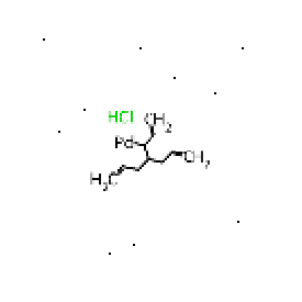 C=CCC(CC=C)[CH]([Pd])C=C.Cl